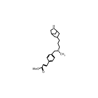 COC(=O)/C=C/c1ccc(CN(C)CCCC2CC3CNC(C2)C3)cc1